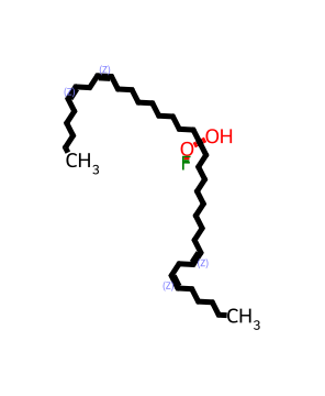 CCCCC/C=C\C/C=C\CCCCCCCCC(O)(CCCCCCCC/C=C\C/C=C\CCCCC)OF